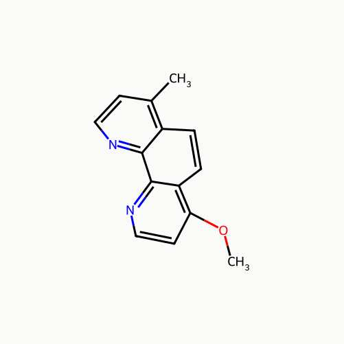 COc1ccnc2c1ccc1c(C)ccnc12